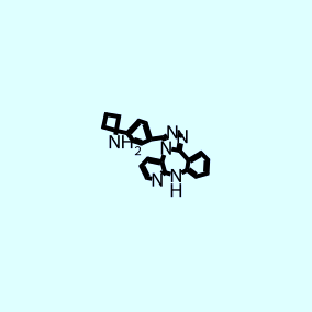 NC1(c2ccc(-c3nnc4n3-c3cccnc3Nc3ccccc3-4)cc2)CCC1